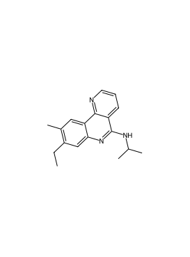 CCc1cc2nc(NC(C)C)c3cccnc3c2cc1C